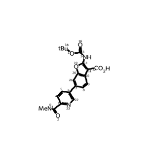 CNC(=O)c1ccc(-c2ccc3c(C(=O)O)c(NC(=O)OC(C)(C)C)oc3c2)cn1